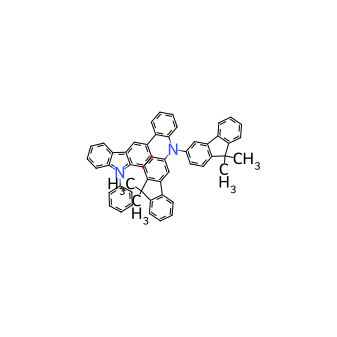 CC1(C)c2ccccc2-c2cc(N(c3ccc4c(c3)-c3ccccc3C4(C)C)c3ccccc3-c3ccc4c(c3)c3ccccc3n4-c3ccccc3)ccc21